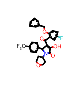 O=C(C1=C(O)C(=O)N(C2CCOCC2)C1c1ccc(C(F)(F)F)cc1)c1cc(F)ccc1OCc1ccccc1